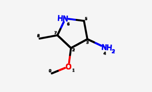 COC1C(N)CNC1C